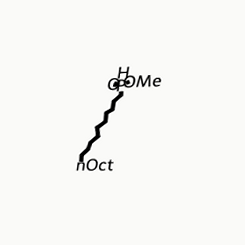 CCCCCCCCCCCCCCCCCC[PH](=O)OC